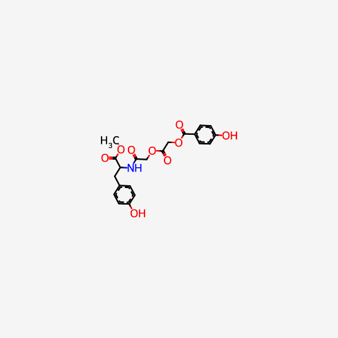 COC(=O)C(Cc1ccc(O)cc1)NC(=O)COC(=O)COC(=O)c1ccc(O)cc1